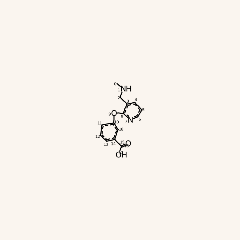 CNCc1cccnc1Oc1cccc(C(=O)O)c1